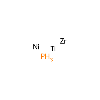 P.[Ni].[Ti].[Zr]